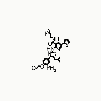 COCCOc1ccc(-c2nc(Nc3ncc(-c4cccs4)cc3C(=O)NCCN(C)I)sc2CC(C)C)cc1P